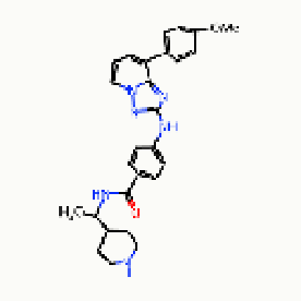 COc1ccc(-c2cccn3nc(Nc4ccc(C(=O)NC(C)C5CCNCC5)cc4)nc23)cc1